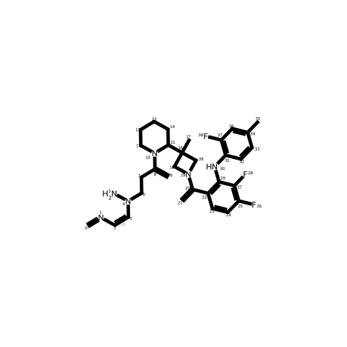 C=N/C=C\N(N)CCC(=C)N1CCCCC1C1(C)CN(C(=C)c2ccc(F)c(F)c2Nc2ccc(C)cc2F)C1